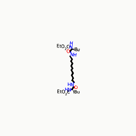 CCOC(=O)N[C@H](C(=O)NCCCCCCCCCCCCNC(=O)[C@@H](NC(=O)OCC)C(C)CC)C(C)CC